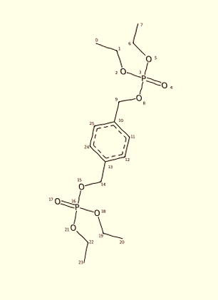 CCOP(=O)(OCC)OCc1ccc(COP(=O)(OCC)OCC)cc1